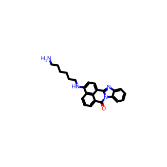 NCCCCCCNc1ccc2c3c1cccc3c(=O)n1c3ccccc3nc21